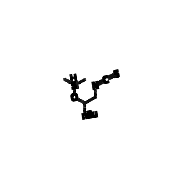 CCCCC(CN=C=S)O[SiH](C)C